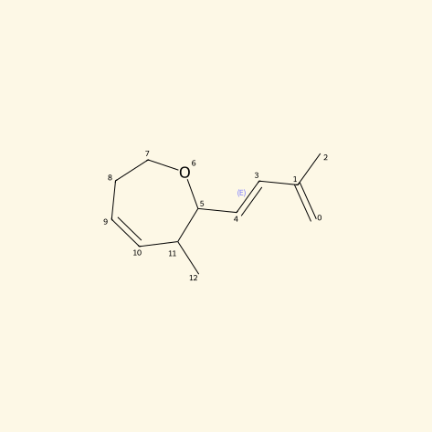 C=C(C)/C=C/C1OCCC=CC1C